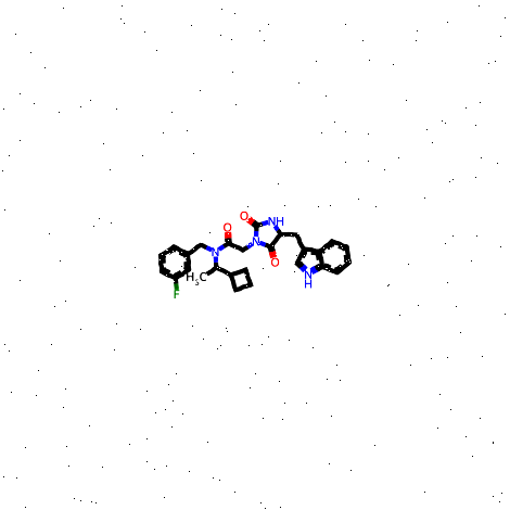 CC(C1CCC1)N(Cc1cccc(F)c1)C(=O)CN1C(=O)NC(Cc2c[nH]c3ccccc23)C1=O